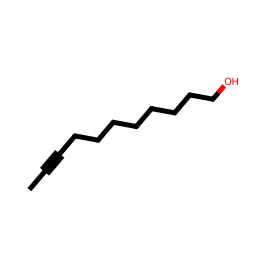 CC#CCCCCCCCCO